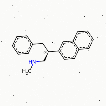 CNC[C@@H](Cc1ccccc1)c1ccc2ccccc2c1